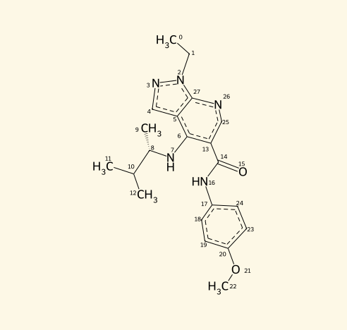 CCn1ncc2c(N[C@@H](C)C(C)C)c(C(=O)Nc3ccc(OC)cc3)cnc21